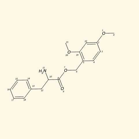 COc1ccc(COC(=O)C(N)Cc2ccccc2)c(OC)c1